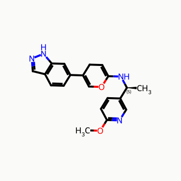 COc1ccc([C@H](C)NC2=CCC(c3ccc4cn[nH]c4c3)=CO2)cn1